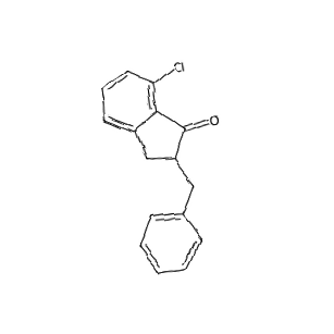 O=C1c2c(Cl)cccc2CC1Cc1ccccc1